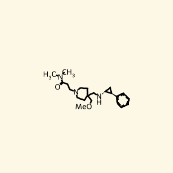 COCC1(CN[C@@H]2C[C@H]2c2ccccc2)CCN(CCC(=O)N(C)C)CC1